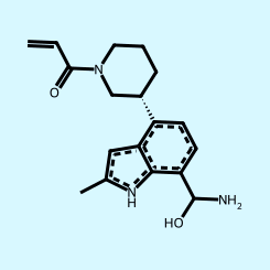 C=CC(=O)N1CCC[C@H](c2ccc(C(N)O)c3[nH]c(C)cc23)C1